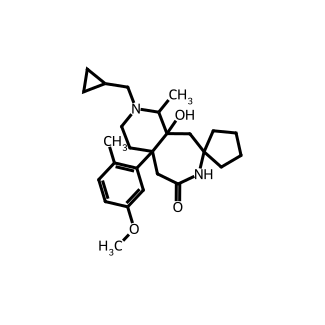 COc1ccc(C)c(C23CCN(CC4CC4)C(C)C2(O)CC2(CCCC2)NC(=O)C3)c1